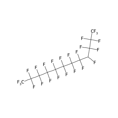 FC(C(F)(F)C(F)(F)C(F)(F)F)C(F)(F)C(F)(F)C(F)(F)C(F)(F)C(F)(F)C(F)(F)C(F)(F)C(F)(F)F